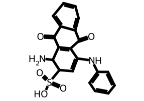 NC1C2=C(C(=O)c3ccccc3C2=O)C(Nc2ccccc2)=CC1S(=O)(=O)O